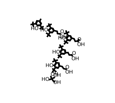 CC(C)(C)c1cc(CCC(=O)O)cc(C(C)(C)C)c1O.CC(C)(C)c1cc(CCC(=O)O)cc(C(C)(C)C)c1O.CC(C)(C)c1cc(CCC(=O)O)cc(C(C)(C)C)c1O.CC(C)(C)c1cc(CCC(=O)O)cc(C(C)(C)C)c1O.Cc1cc(C(C)(C)C)c(O)c(C(C)(C)C)c1.OCC(CO)(CO)CO